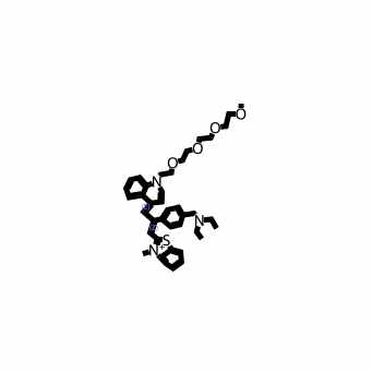 CCN(CC)Cc1ccc(C(=C\c2sc3ccccc3[n+]2C)/C=C2\C=CN(CCOCCOCCOCCOC)c3ccccc32)cc1